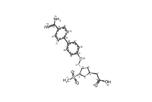 CS(=O)(=O)N1C[C@H](CC(=O)O)C[C@H]1COc1ccc(-c2ncc(C(=N)N)cn2)cc1